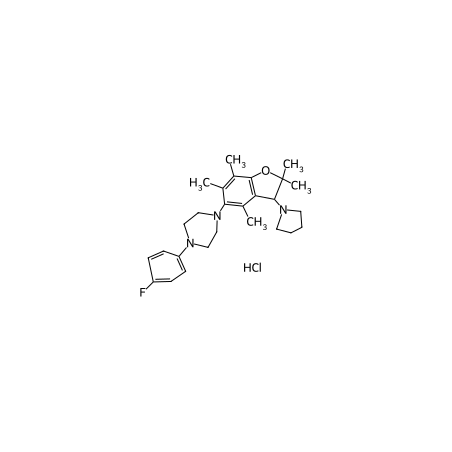 Cc1c(C)c(N2CCN(c3ccc(F)cc3)CC2)c(C)c2c1OC(C)(C)C2N1CCCC1.Cl